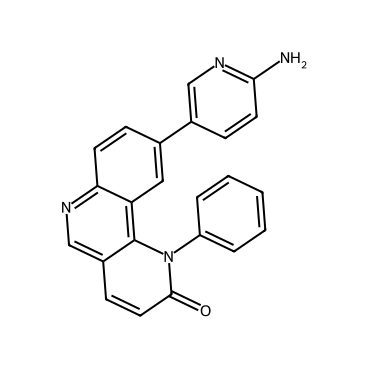 Nc1ccc(-c2ccc3ncc4ccc(=O)n(-c5ccccc5)c4c3c2)cn1